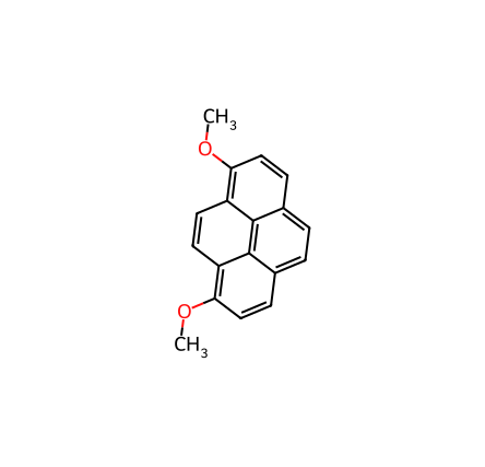 COc1ccc2ccc3ccc(OC)c4ccc1c2c34